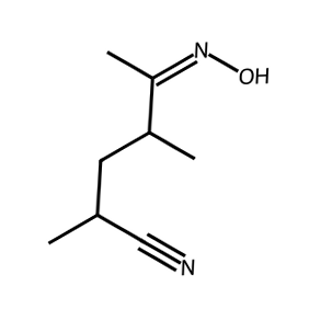 CC(=NO)C(C)CC(C)C#N